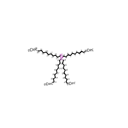 CCCCCCCCCCCCCCCCCCCC[PH](CCCCCCCCCCCCCCCCCCCC)(CCCCCCCCCCCCCCCCCCCC)CCCCCCCCCCCCCCCCCCCC